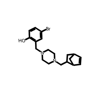 Oc1ccc(Br)cc1CN1CCN(CC2CC3C=CC2C3)CC1